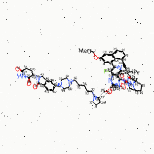 COCOc1cc(-c2ncc3c(N4CC5CCC(C4)N5C(=O)OC(C)(C)C)nc(OC[C@@H]4CCCN4CCCCCN4CCN(c5ccc6c(c5)CN([C@H]5CCC(=O)NC5=O)C6=O)CC4)nc3c2F)c2c(C#C[Si](C(C)C)(C(C)C)C(C)C)cccc2c1